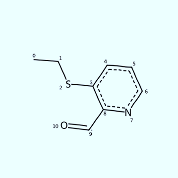 CCSc1cccnc1[C]=O